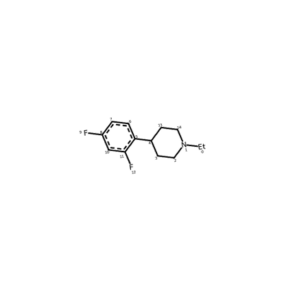 CCN1CCC(c2ccc(F)cc2F)CC1